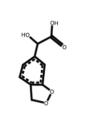 O=C(O)C(O)c1ccc2c(c1)OOC2